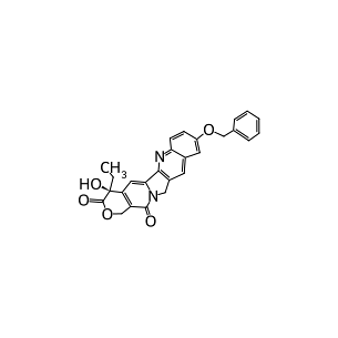 CC[C@@]1(O)C(=O)OCc2c1cc1n(c2=O)Cc2cc3cc(OCc4ccccc4)ccc3nc2-1